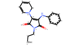 CCCCCCCCCCCCN1C(=O)C(Nc2ccccc2)=C(N2C=CC=CC2)C1=O